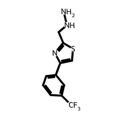 NNCc1nc(-c2cccc(C(F)(F)F)c2)cs1